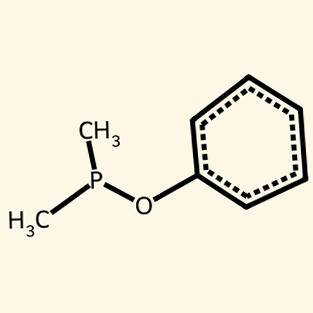 CP(C)Oc1ccccc1